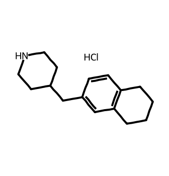 Cl.c1cc2c(cc1CC1CCNCC1)CCCC2